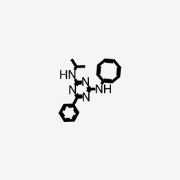 CC(C)Nc1nc(NC2=C/C=C\C=C/C=C\2)nc(-c2ccccc2)n1